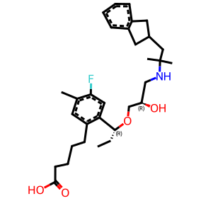 CC[C@@H](OC[C@H](O)CNC(C)(C)CC1Cc2ccccc2C1)c1cc(F)c(C)cc1CCCCC(=O)O